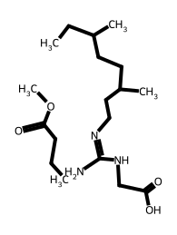 CCC(C)CCC(C)CCN=C(N)NCC(=O)O.CCCC(=O)OC